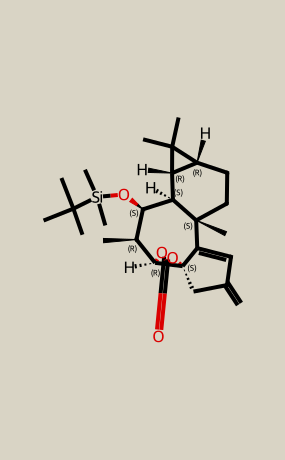 C=C1C=C2[C@]3(C1)OC(=O)O[C@@H]3[C@@H](C)[C@@H](O[Si](C)(C)C(C)(C)C)[C@H]1[C@H]3[C@@H](CC[C@]21C)C3(C)C